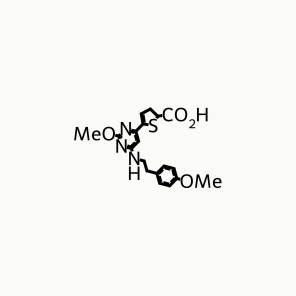 COc1ccc(CCNc2cc(C3=CCC(C(=O)O)S3)nc(OC)n2)cc1